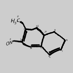 CC1=C(N=O)C=C2C=CCCC2C1